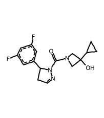 O=C(N1CC(O)(C2CC2)C1)N1N=CCC1c1cc(F)cc(F)c1